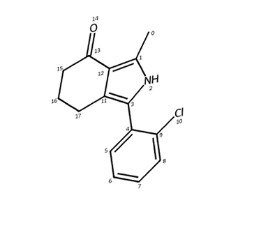 Cc1[nH]c(-c2ccccc2Cl)c2c1C(=O)CCC2